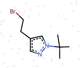 CC(C)(C)n1cc(CCBr)cn1